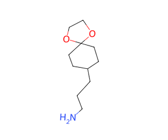 NCCCC1CCC2(CC1)OCCO2